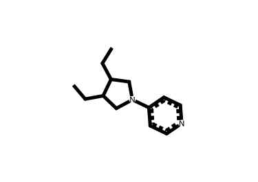 CCC1CN(c2ccncc2)CC1CC